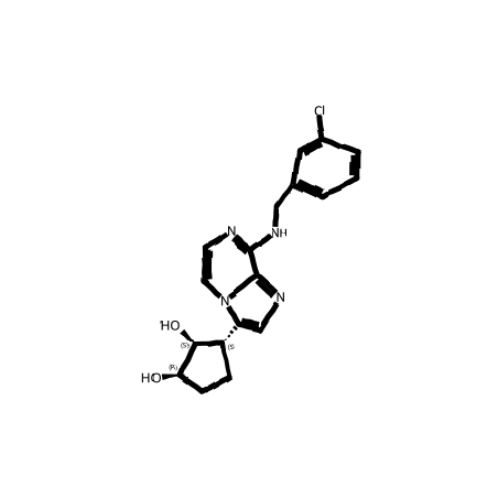 O[C@@H]1[C@H](O)CC[C@H]1c1cnc2c(NCc3cccc(Cl)c3)nccn12